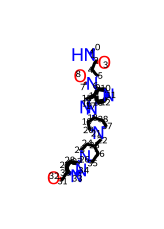 CNC(=O)CCN(C=O)c1cncc2c1cnn2C1CCN(CC2CCN(c3ccc(C=O)nn3)CC2)CC1